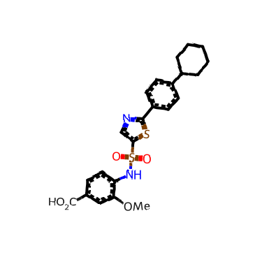 COc1cc(C(=O)O)ccc1NS(=O)(=O)c1cnc(-c2ccc(C3CCCCC3)cc2)s1